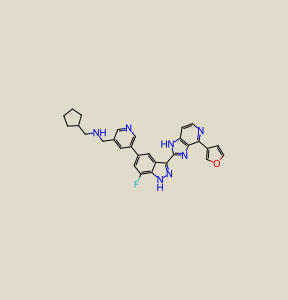 Fc1cc(-c2cncc(CNCC3CCCC3)c2)cc2c(-c3nc4c(-c5ccoc5)nccc4[nH]3)n[nH]c12